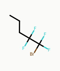 CCCC(F)(F)C(F)(F)Br